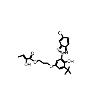 CC=C(O)C(=O)OCCCOc1cc(-n2nc3ccc(Cl)cc3n2)c(O)c(C(C)(C)C)c1